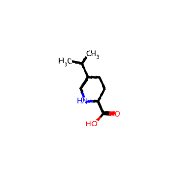 CC(C)C1CCC(C(=O)O)NC1